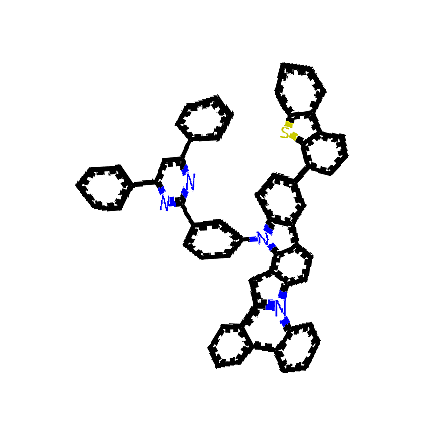 c1ccc(-c2cc(-c3ccccc3)nc(-c3cccc(-n4c5ccc(-c6cccc7c6sc6ccccc67)cc5c5ccc6c(cc7c8ccccc8c8ccccc8n76)c54)c3)n2)cc1